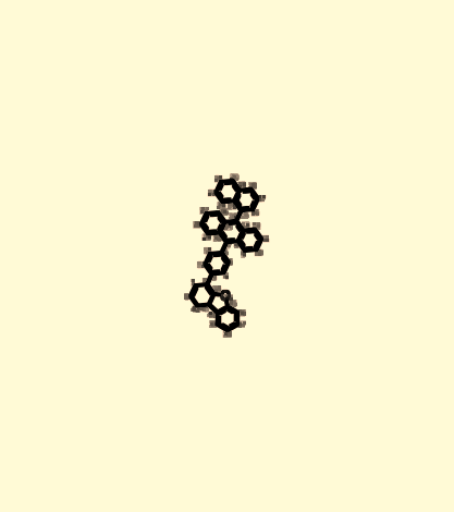 C1=CC(c2ccc(-c3c4ccccc4c(-c4cccc5ccccc45)c4ccccc34)cc2)=C2Oc3ccccc3C2C1